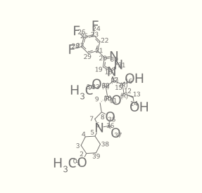 COC1CCC(N2CC(C[C@H]3O[C@H](CO)[C@H](O)[C@H](n4cc(-c5cc(F)c(F)c(F)c5)nn4)[C@H]3OC)OC2=O)CC1